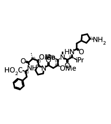 CC[C@H](C)[C@@H]([C@@H](CC(=O)N1CCC[C@H]1[C@H](OC)[C@@H](C)C(=O)N[C@@H](Cc1ccccc1)C(=O)O)OC)N(C)C(=O)[C@@H](NC(=O)CC1CC[C@H](N)C1)C(C)C